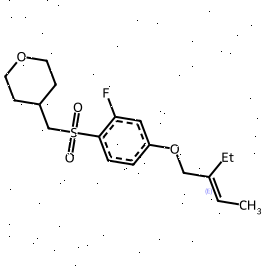 C/C=C(\CC)COc1ccc(S(=O)(=O)CC2CCOCC2)c(F)c1